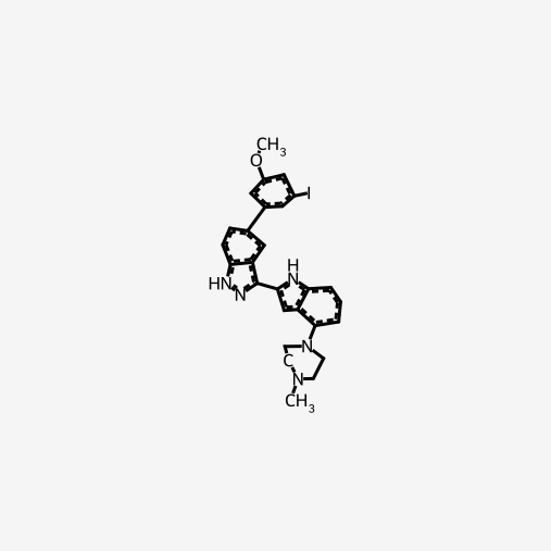 COc1cc(I)cc(-c2ccc3[nH]nc(-c4cc5c(N6CCN(C)CC6)cccc5[nH]4)c3c2)c1